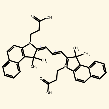 CC1(C)C(/C=C/C=C2/N(CCC(=O)O)c3ccc4ccccc4c3C2(C)C)=[N+](CCC(=O)O)c2ccc3ccccc3c21